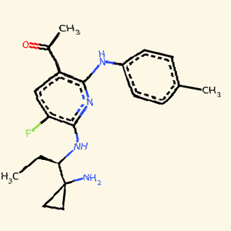 CC[C@@H](Nc1nc(Nc2ccc(C)cc2)c(C(C)=O)cc1F)C1(N)CC1